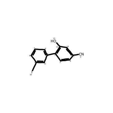 N#Cc1ccc(-c2cccc(I)c2)c(O)c1